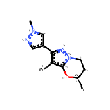 CC(C)c1c(-c2cnn(C)c2)nn2c1O[C@H](C)CC2